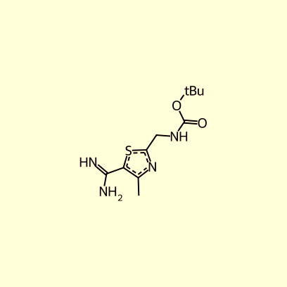 Cc1nc(CNC(=O)OC(C)(C)C)sc1C(=N)N